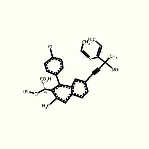 C/C=N\C(=C/C)C(C)(O)C#Cc1ccc2cc(C)c([C@H](OC(C)(C)C)C(=O)O)c(-c3ccc(Cl)cc3)c2c1